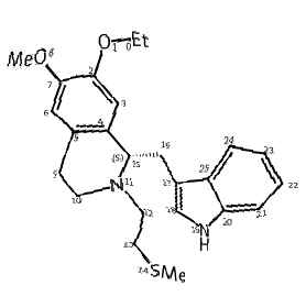 CCOc1cc2c(cc1OC)CCN(CCSC)[C@H]2Cc1c[nH]c2ccccc12